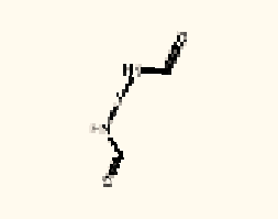 O=C[NH][Y][NH]C=O